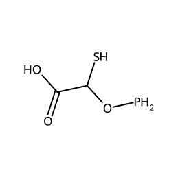 O=C(O)C(S)OP